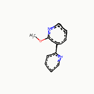 COc1ncccc1-c1c[c]ccn1